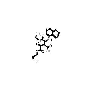 C=CCOC(=O)c1nn(CC)c(=O)c(Nc2cncc3ccccc23)c1C(C)=O